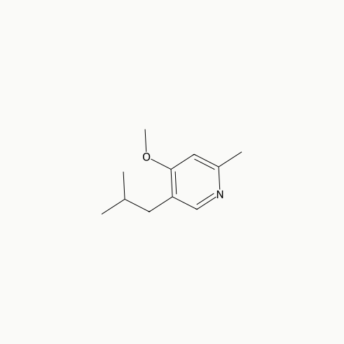 COc1cc(C)ncc1CC(C)C